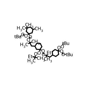 CCC(C)(C)OOC1(OOC(C)(CC)CC2CCC(OOC(C)(C)C)(OOC(C)(C)C)CC2)CCCC(CC(C)(C)OOC2(OOC(C)(C)C)CC(C)CC(C)(C)C2)C1